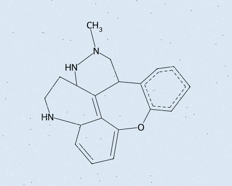 CN1CC2C3=C4C(=CC=CC4NCCC3N1)Oc1ccccc12